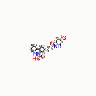 O=C[C@H]1CC[C@H](NC(=O)CCCc2ccc(-c3ccccc3)c(NC(=O)O)c2)CC1